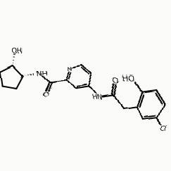 O=C(Cc1cc(Cl)ccc1O)Nc1ccnc(C(=O)N[C@@H]2CCC[C@@H]2O)c1